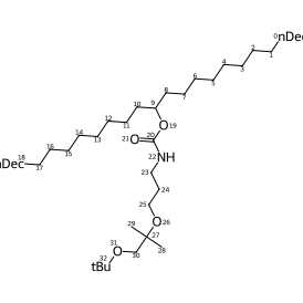 CCCCCCCCCCCCCCCCCCC(CCCCCCCCCCCCCCCCCC)OC(=O)NCCCOC(C)(C)COC(C)(C)C